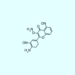 NOc1c(C2=CC(N=O)=C(N)CC2)oc2cccc(N=O)c2c1=O